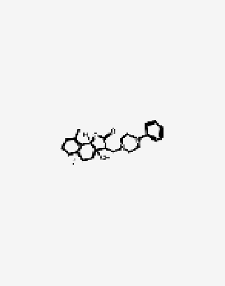 CC1=C2[C@@H]3OC(=O)C(CN4CCN(c5ccccc5)CC4)C3(O)CC[C@@]2(C)CCC1